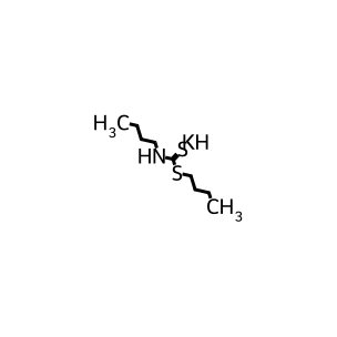 CCCCNC(=S)SCCCC.[KH]